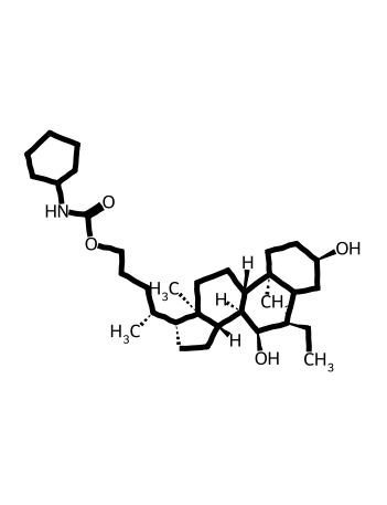 CC[C@@H]1C2C[C@H](O)CC[C@]2(C)[C@H]2CC[C@]3(C)[C@@H]([C@H](C)CCCOC(=O)NC4CCCCC4)CC[C@H]3[C@@H]2[C@@H]1O